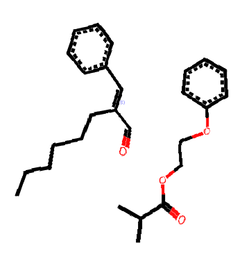 CC(C)C(=O)OCCOc1ccccc1.CCCCCC/C(C=O)=C\c1ccccc1